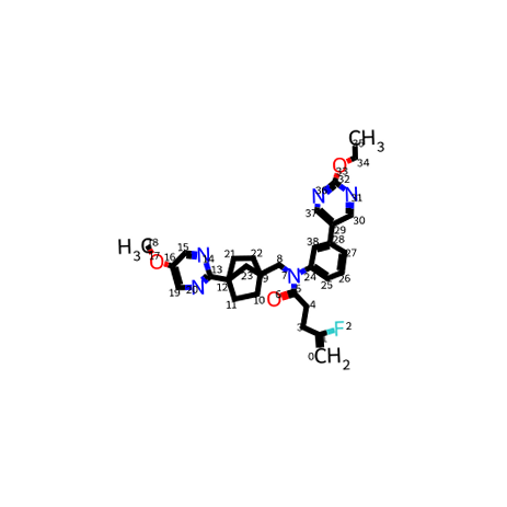 C=C(F)CCC(=O)N(CC12CCC(c3ncc(OC)cn3)(CC1)C2)c1cccc(-c2cnc(OCC)nc2)c1